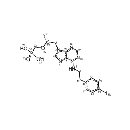 C[C@H](Cn1cnc2c(NCCc3ccc(I)cc3)ncnc21)OCP(=O)(O)O